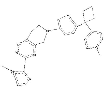 Cc1ccc(C2(c3ccc(N4CCc5cnc(-c6nccn6C)nc5C4)cc3)CCC2)cc1